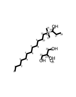 CCCCCCCCCCCC[N+](C)(C)C(O)CC.OCC(O)CO.[Cl-]